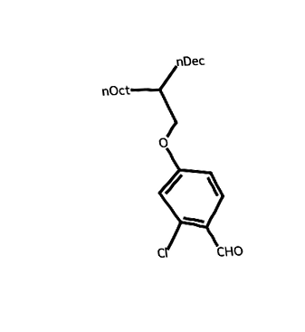 CCCCCCCCCCC(CCCCCCCC)COc1ccc(C=O)c(Cl)c1